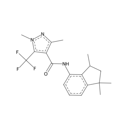 Cc1nn(C)c(C(F)(F)F)c1C(=O)Nc1cccc2c1C(C)CC2(C)C